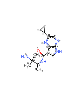 CC(NC(=O)c1c[nH]c2ncc(C3CC3)nc12)C(C)(C)N